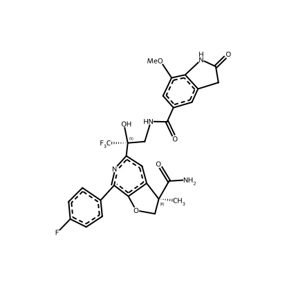 COc1cc(C(=O)NC[C@](O)(c2cc3c(c(-c4ccc(F)cc4)n2)OC[C@]3(C)C(N)=O)C(F)(F)F)cc2c1NC(=O)C2